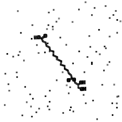 O=C(O)CCCCCCCC=CCCCCCCCC(=O)OCC(O)CO